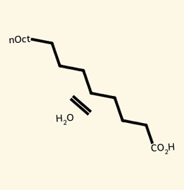 C=C.CCCCCCCCCCCCCCCC(=O)O.O